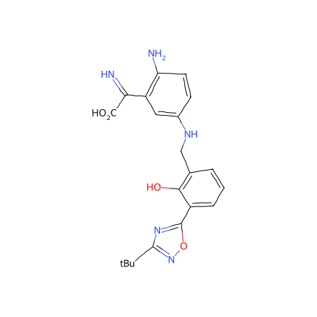 CC(C)(C)c1noc(-c2cccc(CNc3ccc(N)c(C(=N)C(=O)O)c3)c2O)n1